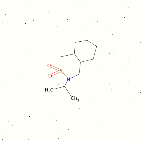 CC(C)N1CC2CCCCC2CS1(=O)=O